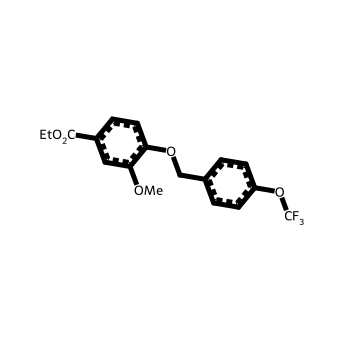 CCOC(=O)c1ccc(OCc2ccc(OC(F)(F)F)cc2)c(OC)c1